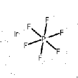 F[P-](F)(F)(F)(F)F.[Ir]